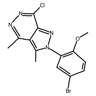 COc1ccc(Br)cc1-n1nc2c(Cl)nnc(C)c2c1C